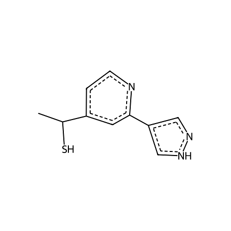 CC(S)c1ccnc(-c2cn[nH]c2)c1